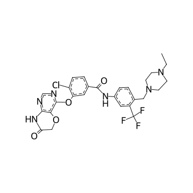 CCN1CCN(Cc2ccc(NC(=O)c3ccc(Cl)c(Oc4ncnc5c4OCC(=O)N5)c3)cc2C(F)(F)F)CC1